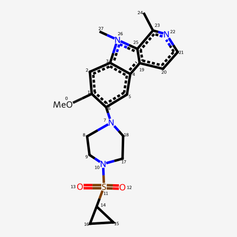 COc1cc2c(cc1N1CCN(S(=O)(=O)C3CC3)CC1)c1ccnc(C)c1n2C